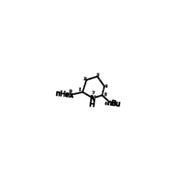 CCCCCCC1CCCC(CCCC)N1